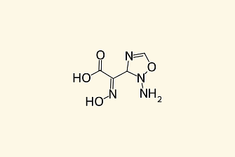 NN1OC=NC1C(=NO)C(=O)O